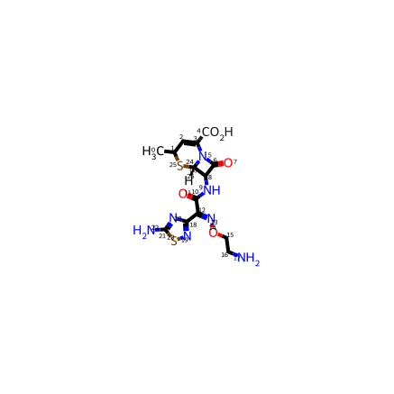 CC1C=C(C(=O)O)N2C(=O)C(NC(=O)C(=NOCCN)c3nsc(N)n3)[C@@H]2S1